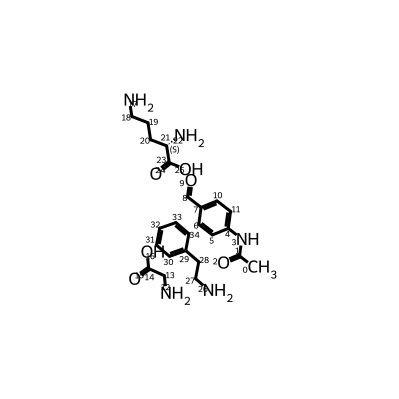 CC(=O)Nc1ccc(C=O)cc1.NCC(=O)O.NCCC[C@H](N)C(=O)O.NCCc1ccccc1